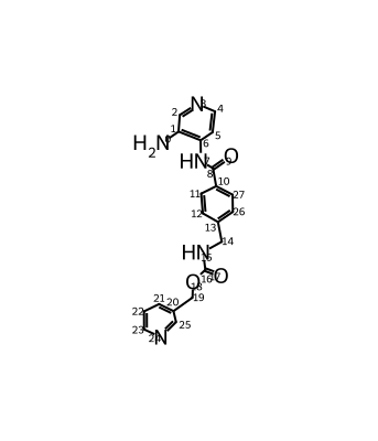 Nc1cnccc1NC(=O)c1ccc(CNC(=O)OCc2cccnc2)cc1